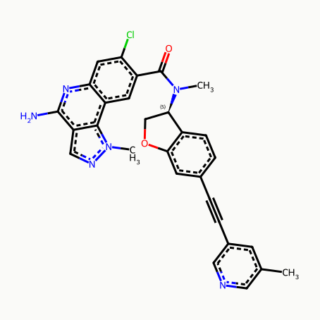 Cc1cncc(C#Cc2ccc3c(c2)OC[C@H]3N(C)C(=O)c2cc3c(cc2Cl)nc(N)c2cnn(C)c23)c1